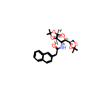 CC1(C)O[C@H]2O[C@H]([C@H]3COC(C)(C)O3)[C@@H](NC(=O)Cc3ccc4ccccc4c3)[C@H]2O1